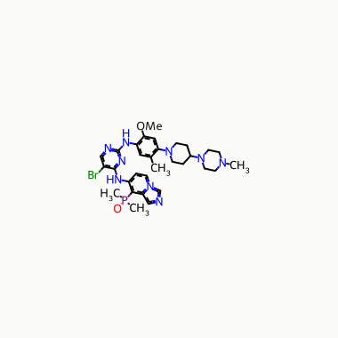 COc1cc(N2CCC(N3CCN(C)CC3)CC2)c(C)cc1Nc1ncc(Br)c(Nc2ccn3cncc3c2P(C)(C)=O)n1